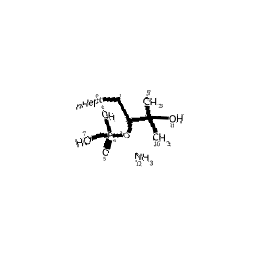 CCCCCCCCC(OP(=O)(O)O)C(C)(C)O.N